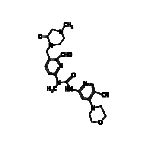 CN1CCN(Cc2ccc(N(C)C(=O)Nc3cc(N4CCOCC4)c(C#N)cn3)nc2C=O)C(=O)C1